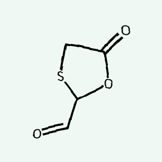 O=CC1OC(=O)CS1